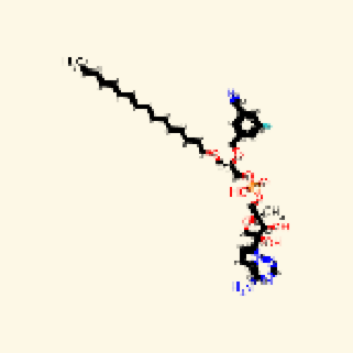 CCCCCCCCCCCCCCCCOC[C@@H](COP(=O)(O)OC[C@@]1(C)OCC(O)(c2ccc3c(N)ncnn23)[C@@H]1O)OCc1cc(F)cc(C#N)c1